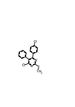 CSc1nc(Cl)c(-c2ccccc2)c(-c2ccc(Cl)cc2)n1